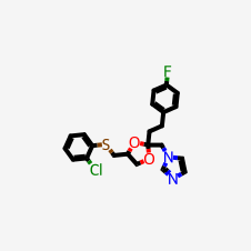 Fc1ccc(CCC2(Cn3ccnc3)OCC(CSc3ccccc3Cl)O2)cc1